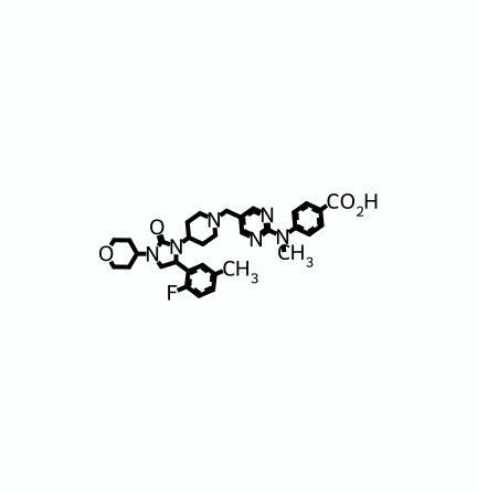 Cc1ccc(F)c(C2CN(C3CCOCC3)C(=O)N2C2CCN(Cc3cnc(N(C)c4ccc(C(=O)O)cc4)nc3)CC2)c1